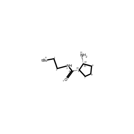 CC(C)(C)CCNC(=O)[C@H]1CCC[C@H]1N